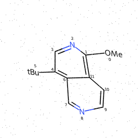 COc1ncc(C(C)(C)C)c2cnccc12